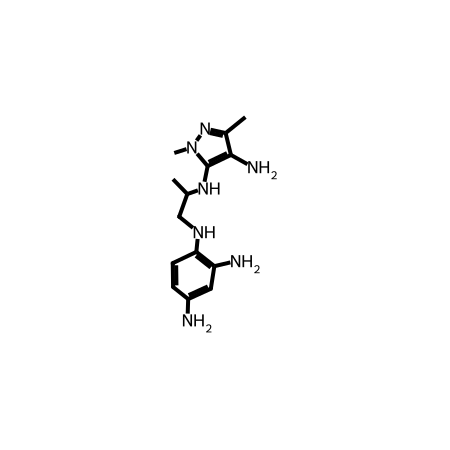 Cc1nn(C)c(NC(C)CNc2ccc(N)cc2N)c1N